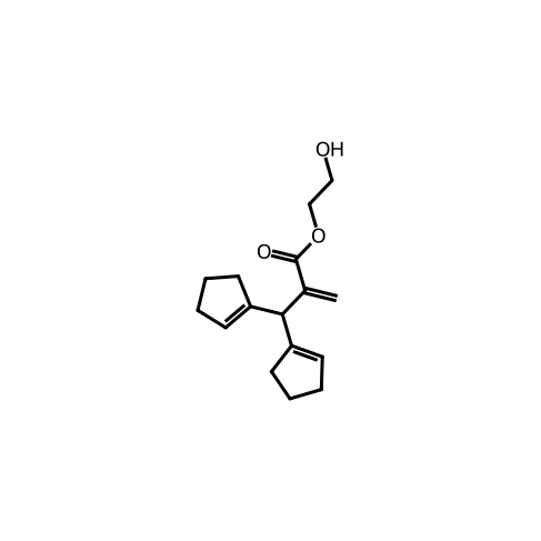 C=C(C(=O)OCCO)C(C1=CCCC1)C1=CCCC1